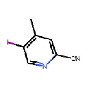 Cc1cc(C#N)ncc1I